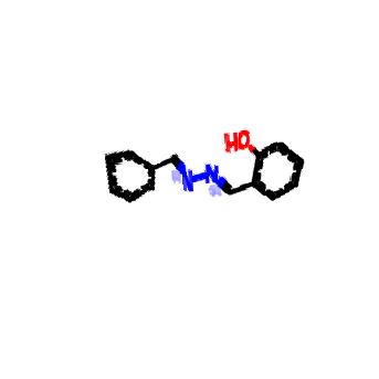 Oc1ccccc1/C=N/N=C/c1ccccc1